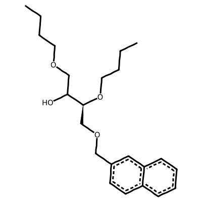 CCCCOCC(O)[C@H](COCc1ccc2ccccc2c1)OCCCC